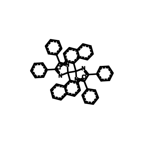 Clc1ccc2ccccc2c1C1(C2(c3c(Cl)ccc4ccccc34)N=C(c3ccccc3)C(c3ccccc3)=N2)N=C(c2ccccc2)C(c2ccccc2)=N1